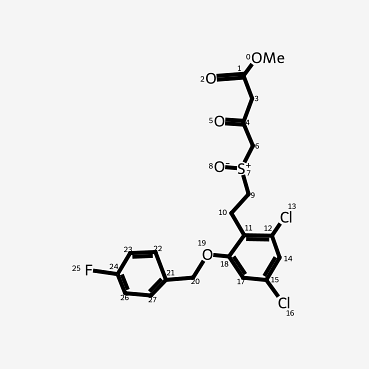 COC(=O)CC(=O)C[S+]([O-])CCc1c(Cl)cc(Cl)cc1OCc1ccc(F)cc1